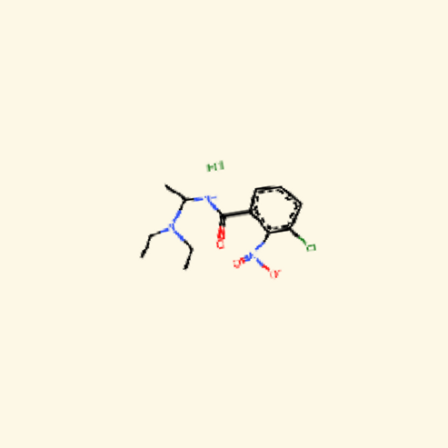 CCN(CC)C(C)NC(=O)c1cccc(Cl)c1[N+](=O)[O-].Cl